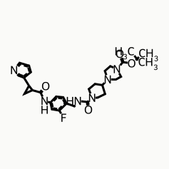 CC(C)(C)OC(=O)N1CCN(C2CCN(C(=O)NCc3ccc(NC(=O)C4CC4c4cccnc4)cc3F)CC2)CC1